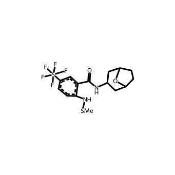 CSNc1ccc(S(F)(F)(F)(F)F)cc1C(=O)NC1CC2CCC(C1)O2